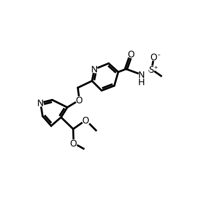 COC(OC)c1ccncc1OCc1ccc(C(=O)N[S+](C)[O-])cn1